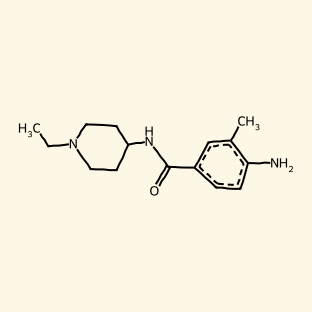 CCN1CCC(NC(=O)c2ccc(N)c(C)c2)CC1